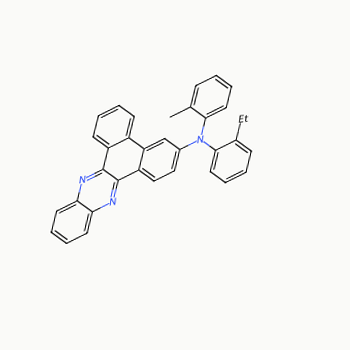 CCc1ccccc1N(c1ccc2c(c1)c1ccccc1c1nc3ccccc3nc21)c1ccccc1C